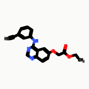 C#Cc1cccc(Nc2ncnc3ccc(OCC(=O)OCC)cc23)c1